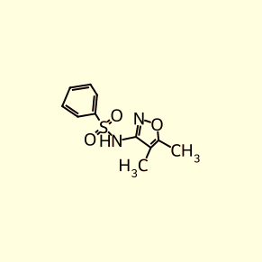 Cc1onc(NS(=O)(=O)c2ccccc2)c1C